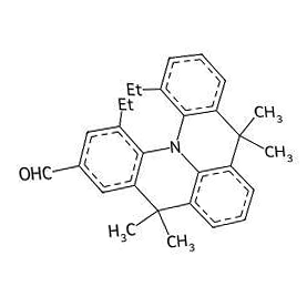 CCc1cccc2c1N1c3c(CC)cc(C=O)cc3C(C)(C)c3cccc(c31)C2(C)C